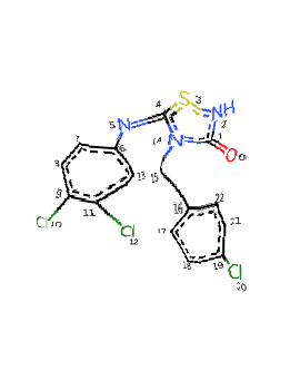 O=c1[nH]sc(=Nc2ccc(Cl)c(Cl)c2)n1Cc1ccc(Cl)cc1